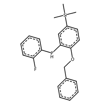 C[Si](C)(C)c1ccc(OCc2ccccc2)c(Pc2ccccc2F)c1